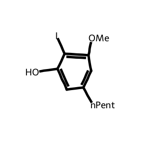 CCCCCc1cc(O)c(I)c(OC)c1